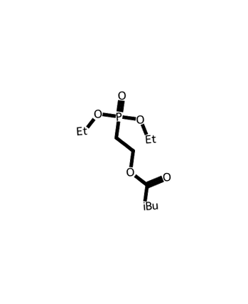 CCOP(=O)(CCOC(=O)C(C)CC)OCC